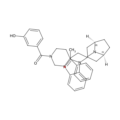 Cc1nc2ccccc2n1C1C[C@H]2CC[C@@H](C1)N2CCC1(c2ccccc2)CCN(C(=O)c2cccc(O)c2)CC1